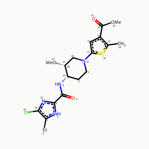 CCc1[nH]c(C(=O)N[C@H]2CCN(c3cc(C(=O)OC)c(C)s3)C[C@H]2OC)nc1Cl